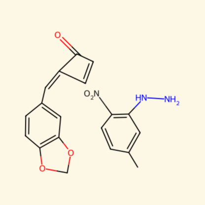 Cc1ccc([N+](=O)[O-])c(NN)c1.O=C1C=CC1=Cc1ccc2c(c1)OCO2